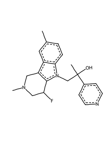 Cc1ccc2c(c1)c1c(n2CC(C)(O)c2ccncc2)C(F)CN(C)C1